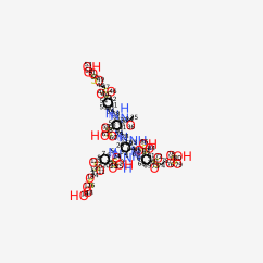 CNc1c(/N=N/c2ccc(S(=O)(=O)CCOSOOO)cc2S(=O)(=O)O)cc(/N=N/c2cc(NC(C)=O)c(/N=N/c3ccc(S(=O)(=O)CCOSOOO)cc3)cc2S(=O)(=O)O)c(N)c1/N=N/c1ccc(S(=O)(=O)CCOS(=O)(=O)O)cc1S(=O)(=O)O